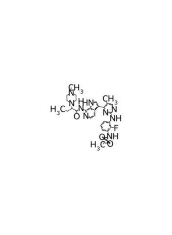 CCC(C(=O)Nc1nccc2c(-c3nc(Nc4cccc(NS(C)(=O)=O)c4F)ncc3C)c[nH]c12)N1CCN(C)CC1